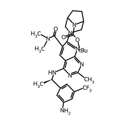 Cc1nc(N[C@H](C)c2cc(N)cc(C(F)(F)F)c2)c2cc(C(=O)N(C)C)c(N3CC4CCC(C3)N4C(=O)OC(C)(C)C)nc2n1